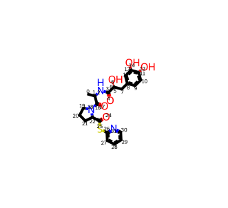 CC(NC(=O)[C@H](O)Cc1ccc(O)c(O)c1)C(=O)N1CCCC1C(=O)Sc1ccccn1